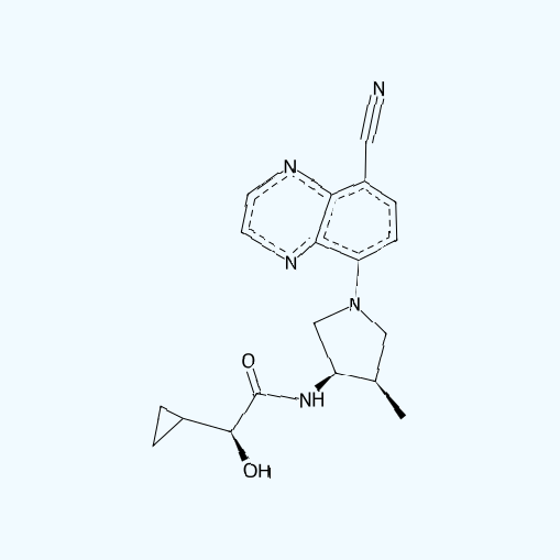 C[C@@H]1CN(c2ccc(C#N)c3nccnc23)C[C@@H]1NC(=O)[C@@H](O)C1CC1